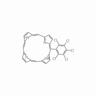 Clc1c(Cl)c(Cl)c(-c2c3nc(cc4ccc(cc5nc(cc6ccc2[nH]6)C=C5)[nH]4)C=C3)c(Cl)c1Cl